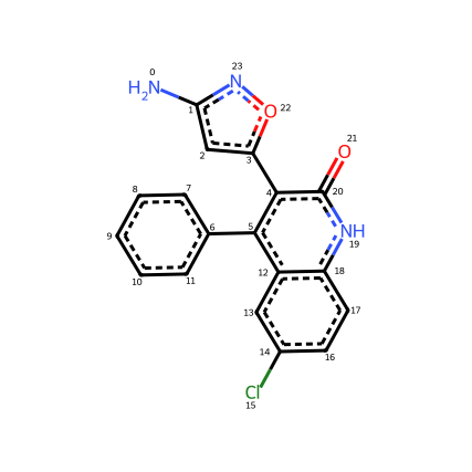 Nc1cc(-c2c(-c3ccccc3)c3cc(Cl)ccc3[nH]c2=O)on1